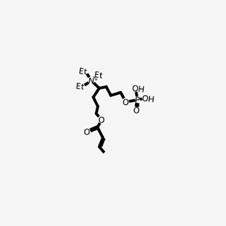 CC=CC(=O)OCCCC(CCCOP(=O)(O)O)[N+](CC)(CC)CC